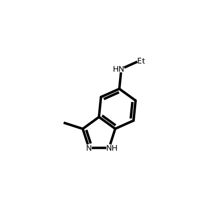 CCNc1ccc2[nH]nc(C)c2c1